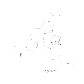 CNC(=O)c1ccc2c(c1)CCc1cc(C(=O)NC)ccc1C2(CC1(NCC(=O)N(C(C)C#N)C2CC2)CCCC1)c1nnn[nH]1